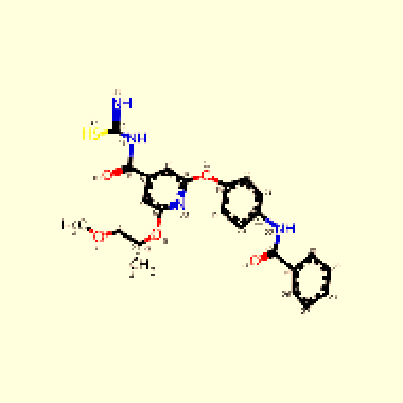 COC[C@@H](C)Oc1cc(C(=O)NC(=N)S)cc(Oc2ccc(NC(=O)c3ccccc3)cc2)n1